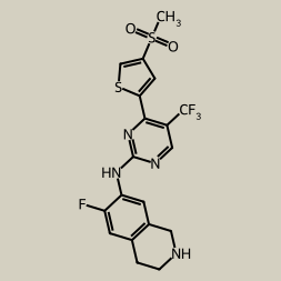 CS(=O)(=O)c1csc(-c2nc(Nc3cc4c(cc3F)CCNC4)ncc2C(F)(F)F)c1